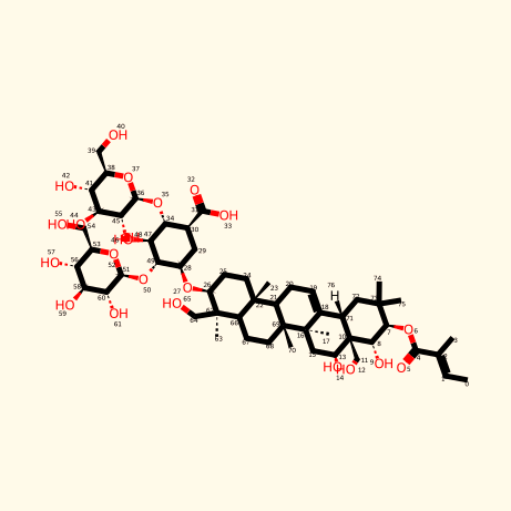 C/C=C(\C)C(=O)O[C@H]1[C@H](O)[C@]2(CO)[C@H](O)C[C@]3(C)C(=CCC4[C@@]5(C)CC[C@H](O[C@@H]6C[C@H](C(=O)O)[C@@H](O[C@@H]7O[C@H](CO)[C@@H](O)[C@H](O)[C@H]7O)[C@H](O)[C@H]6O[C@@H]6O[C@H](CO)[C@@H](O)[C@H](O)[C@H]6O)[C@](C)(CO)C5CC[C@]43C)[C@@H]2CC1(C)C